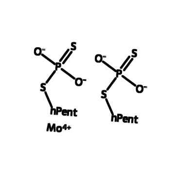 CCCCCSP([O-])([O-])=S.CCCCCSP([O-])([O-])=S.[Mo+4]